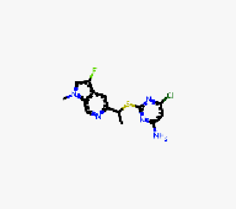 CC(Sc1nc(N)cc(Cl)n1)c1cc2c(F)cn(C)c2cn1